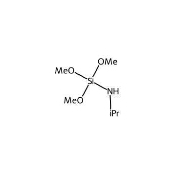 CO[Si](NC(C)C)(OC)OC